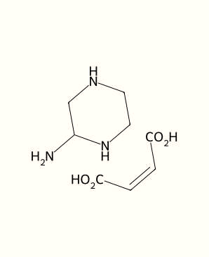 NC1CNCCN1.O=C(O)/C=C\C(=O)O